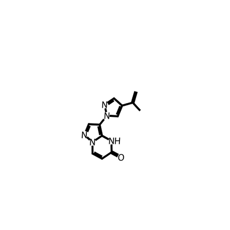 C=C(C)c1cnn(-c2cnn3ccc(=O)[nH]c23)c1